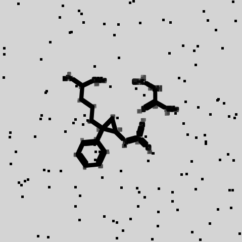 CCCC(CCCC1(c2ccccc2)CC1N=S(=O)=O)OC.CNC(=S)NC=O